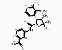 COc1c([C@@H]2[C@@H](C)[C@@](C)(C(F)(F)F)O[C@H]2C(=O)Nc2ccnc(C(N)=O)c2)ccnc1C